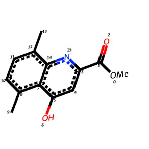 COC(=O)c1cc(O)c2c(C)ccc(C)c2n1